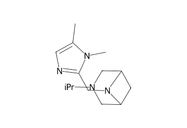 Cc1cnc(CN2C3CC2CN(C(C)C)C3)n1C